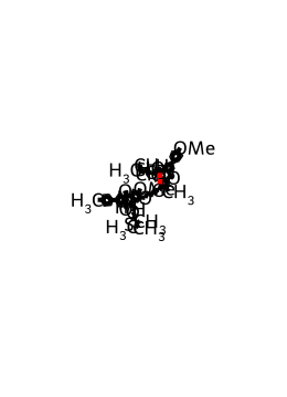 COc1ccc(C2=CN3C(=O)c4cc(C)c(OCCCOc5cc6c(cc5OC)C(=O)N5C=C(c7ccc(C)cc7)C[C@H]5C(O)N6COCC[Si](C)(C)C)cc4N(COCC[Si](C)(C)C)C(O)[C@@H]3C2)cc1